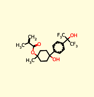 C=C(C)C(=O)OC1(C)CCC(O)(c2ccc(C(O)(C(F)(F)F)C(F)(F)F)cc2)CC1